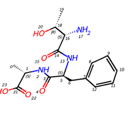 C[C@H](NC(=O)[C@H](Cc1ccccc1)NC(=O)[C@@H](N)[C@@H](C)O)C(=O)O